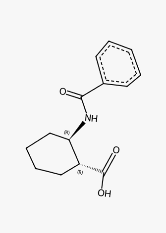 O=C(N[C@@H]1CCCC[C@H]1C(=O)O)c1ccccc1